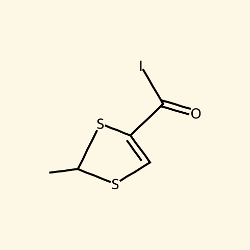 CC1SC=C(C(=O)I)S1